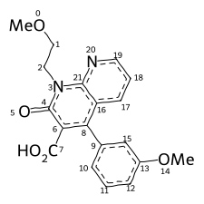 COCCn1c(=O)c(C(=O)O)c(-c2cccc(OC)c2)c2cccnc21